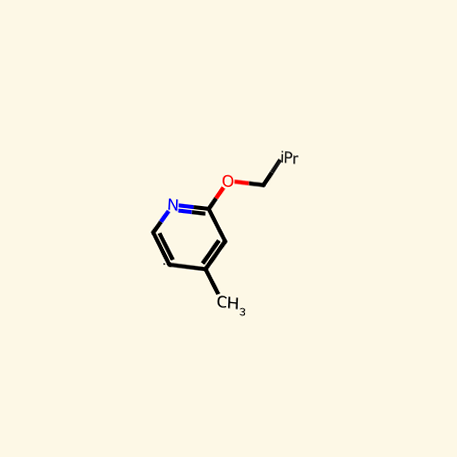 Cc1[c]cnc(OCC(C)C)c1